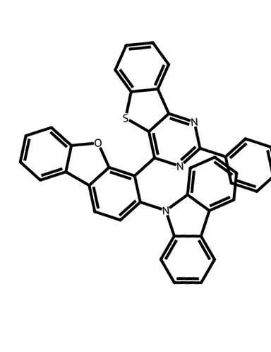 c1ccc(-c2nc(-c3c(-n4c5ccccc5c5ccccc54)ccc4c3oc3ccccc34)c3sc4ccccc4c3n2)cc1